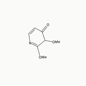 COC1=NC=CC(=O)C1OC